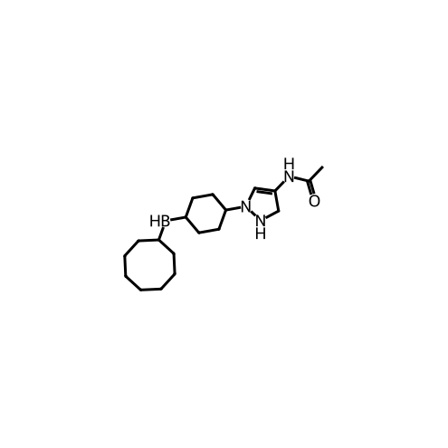 CC(=O)NC1=CN(C2CCC(BC3CCCCCCC3)CC2)NC1